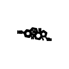 CCC(C)[C@H]1CC[C@H]2[C@@H]3CCc4cc(O)ccc4[C@H]3CC[C@]12C